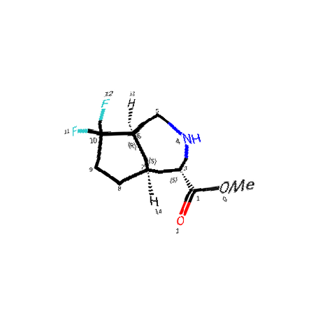 COC(=O)[C@H]1NC[C@H]2[C@@H]1CCC2(F)F